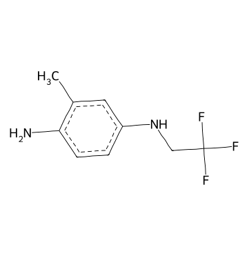 Cc1cc(NCC(F)(F)F)ccc1N